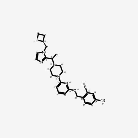 CC(c1nccn1C[C@@H]1CCO1)N1CCN(c2cccc(OCc3ccc(C#N)cc3F)n2)CC1